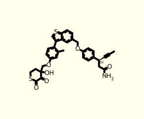 CC#C[C@@H](CC(N)=O)c1ccc(OCc2ccc3scc(-c4ccc(OCC5(O)CCSC(=O)C5=O)cc4C)c3c2)cc1